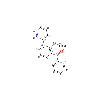 CCCCOc1c(C(=O)c2ccccc2)cccc1-c1ccccn1